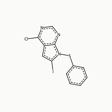 Clc1ncnc2c1cc(I)n2Sc1ccccc1